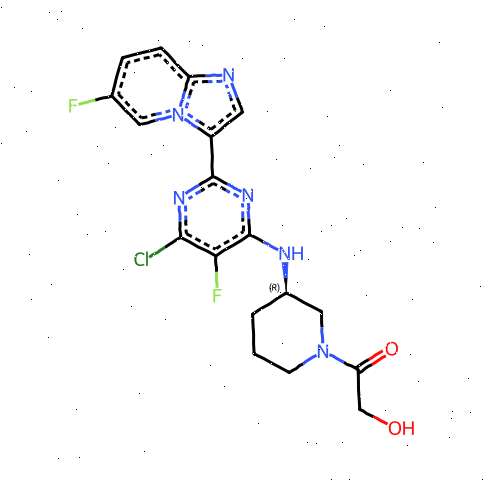 O=C(CO)N1CCC[C@@H](Nc2nc(-c3cnc4ccc(F)cn34)nc(Cl)c2F)C1